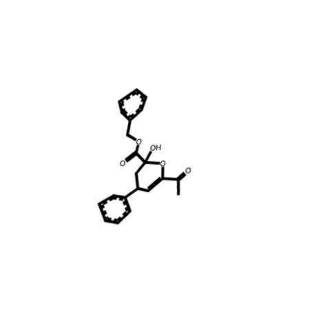 CC(=O)C1=CC(c2ccccc2)CC(O)(C(=O)OCc2ccccc2)O1